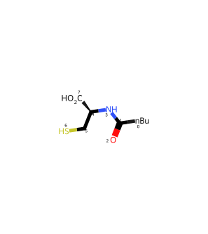 CCCCC(=O)N[C@@H](CS)C(=O)O